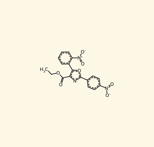 CCOC(=O)c1nc(-c2ccc([N+](=O)[O-])cc2)oc1-c1ccccc1[N+](=O)[O-]